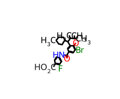 CC1CCC(C2c3cc(C(=O)Nc4ccc(C(=O)O)c(F)c4)cc(Br)c3OC(C)(C)C2C)CC1